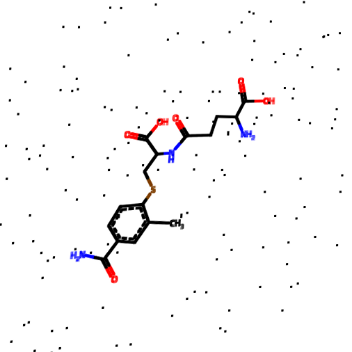 Cc1cc(C(N)=O)ccc1SCC(NC(=O)CCC(N)C(=O)O)C(=O)O